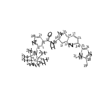 [2H]C1([2H])N(c2cc(C(=O)Nc3cc4nc(-c5cnc(C)n5C)ccc4cn3)ccn2)C([2H])([2H])C([2H])([2H])C1([2H])[2H]